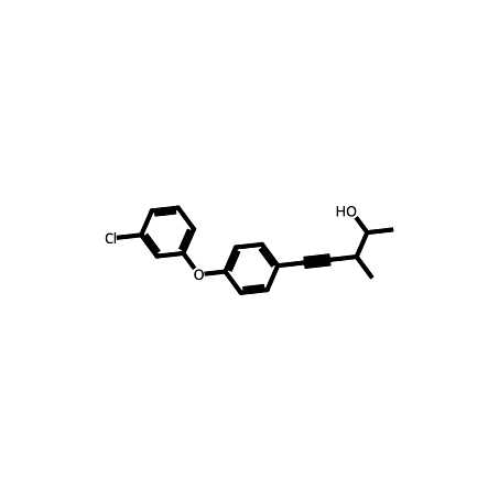 CC(O)C(C)C#Cc1ccc(Oc2cccc(Cl)c2)cc1